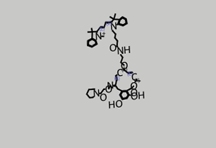 C[C@@H]1C/C=C/[C@@H](OCCCNC(=O)CCCCN2/C(=C\C=C\C3=[N+](C)c4ccccc4C3(C)C)C(C)(C)c3ccccc32)C/C=C/C(=NOCC(=O)N2CCCCC2)Cc2cc(O)cc(O)c2C(=O)O1